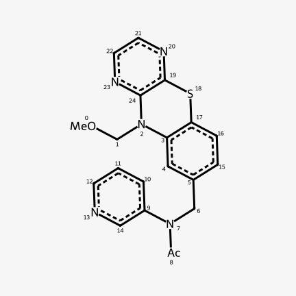 COCN1c2cc(CN(C(C)=O)c3cccnc3)ccc2Sc2nccnc21